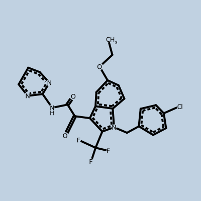 CCOc1ccc2c(c1)c(C(=O)C(=O)Nc1ncccn1)c(C(F)(F)F)n2Cc1ccc(Cl)cc1